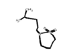 CC(C)CCN1CCCS1(=O)=O